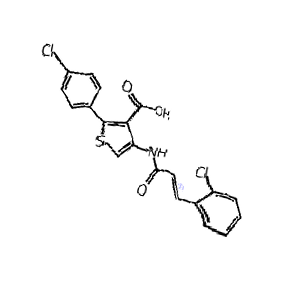 O=C(/C=C/c1ccccc1Cl)Nc1csc(-c2ccc(Cl)cc2)c1C(=O)O